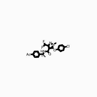 CC(=O)c1ccc([C@H](C)NC(=O)c2c(C(F)F)nn(C)c2Oc2ccc(Cl)cc2)cc1